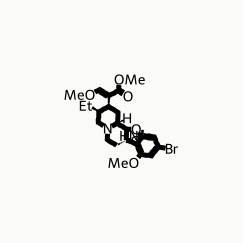 CC[C@@H]1CN2CC[C@@]34OCCO[C@@]3(Nc3cc(Br)cc(OC)c34)[C@@H]2C[C@@H]1/C(=C\OC)C(=O)OC